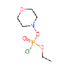 CCOP(=O)(Cl)ON1CCOCC1